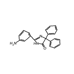 Nc1cccc(C2=NC(c3ccccc3)(c3ccccc3)C(=O)N2)c1